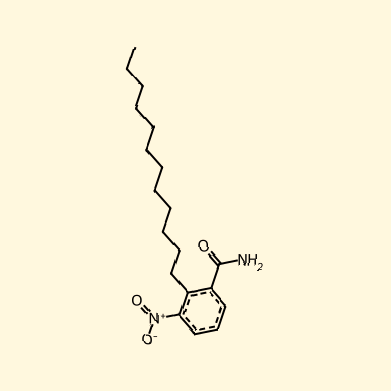 CCCCCCCCCCCCc1c(C(N)=O)cccc1[N+](=O)[O-]